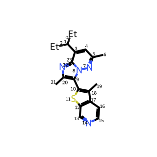 CCC(CC)c1cc(C)nn2c(-c3sc4cnccc4c3C)c(C)nc12